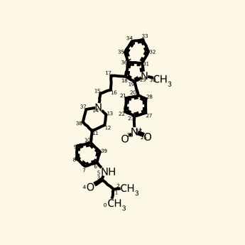 CC(C)C(=O)Nc1cccc(C2CCN(CCCc3c(-c4ccc([N+](=O)[O-])cc4)n(C)c4ccccc34)CC2)c1